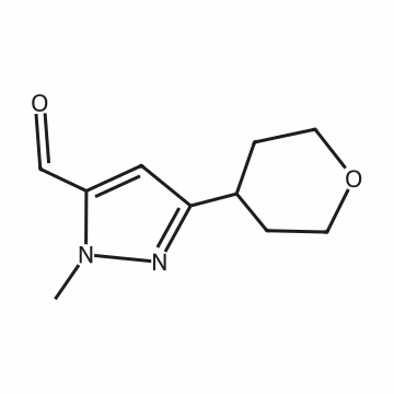 Cn1nc(C2CCOCC2)cc1C=O